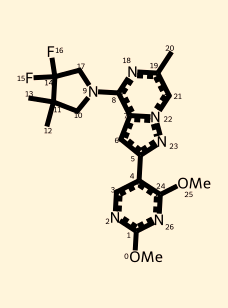 COc1ncc(-c2cc3c(N4CC(C)(C)C(F)(F)C4)nc(C)cn3n2)c(OC)n1